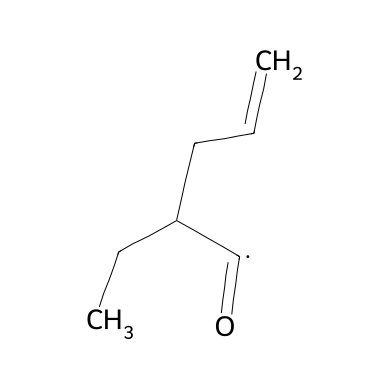 C=CCC([C]=O)CC